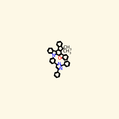 CC1(C)c2ccccc2-c2c1c1c3ccccc3oc1c1c2c2ccccc2n1-c1cccc(-c2cc(-c3ccccc3)nc(-c3ccccc3)n2)c1